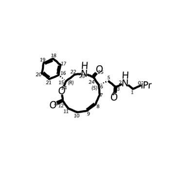 CC(C)CNC(=O)C[C@@H]1CC=CCCC(=O)O[C@H](c2ccccc2)CNC1=O